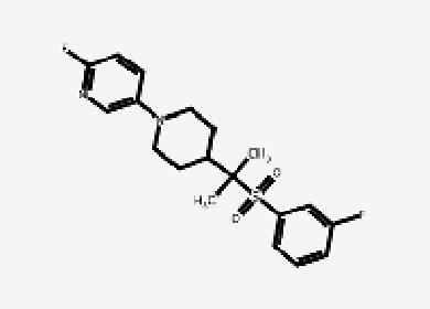 CC(C)(C1CCN(c2ccc(F)nc2)CC1)S(=O)(=O)c1cccc(F)c1